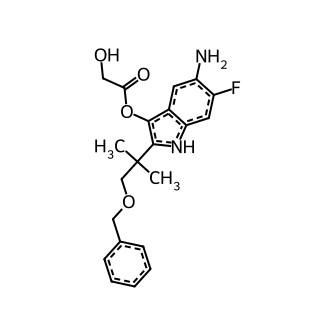 CC(C)(COCc1ccccc1)c1[nH]c2cc(F)c(N)cc2c1OC(=O)CO